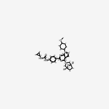 COC1CCC(n2ncc3c(N4C[C@H]5CC[C@H](C4)O5)nc(-c4ccc(NC(=O)NC5CC5)cc4)nc32)CC1